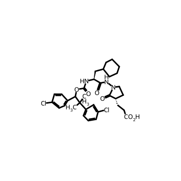 CC(C)(c1cccc(Cl)c1)C(OC(=O)N[C@@H](CC1CCCCC1)C(=O)NN1CC[C@H](CCC(=O)O)C1=O)c1ccc(Cl)cc1